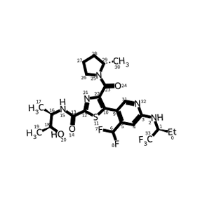 CC[C@H](Nc1cc(C(F)F)c(-c2sc(C(=O)N[C@H](C)[C@H](C)O)nc2C(=O)N2CCC[C@@H]2C)cn1)C(F)(F)F